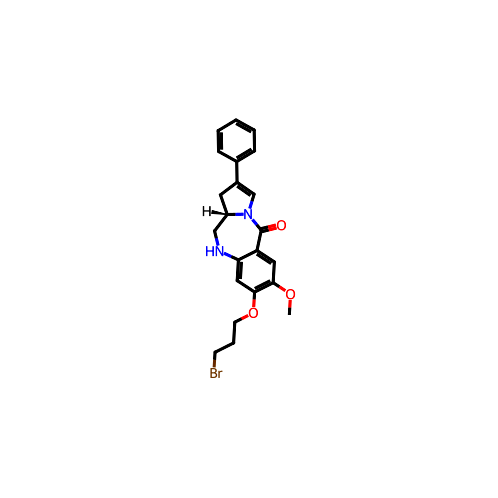 COc1cc2c(cc1OCCCBr)NC[C@@H]1CC(c3ccccc3)=CN1C2=O